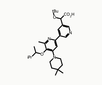 Cc1nc(-c2cncc(C(OC(C)(C)C)C(=O)O)c2)cc(N2CCC(C)(C)CC2)c1OC(C)C(C)C